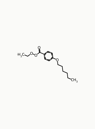 [CH2]COOC(=O)c1ccc(OCCCCCC)cc1